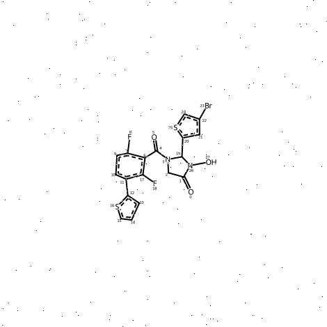 O=C1CN(C(=O)c2c(F)ccc(-c3cccs3)c2F)C(c2cc(Br)cs2)N1O